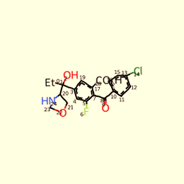 CCC(O)(c1cc(F)c(C(=O)c2ccc(Cl)cc2)c(C(=O)O)c1)C1COCN1